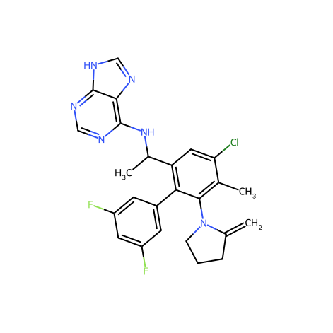 C=C1CCCN1c1c(C)c(Cl)cc(C(C)Nc2ncnc3[nH]cnc23)c1-c1cc(F)cc(F)c1